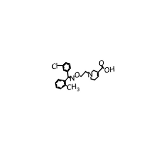 Cc1ccccc1C(=NOCCN1CCC=C(C(=O)O)C1)c1cccc(Cl)c1